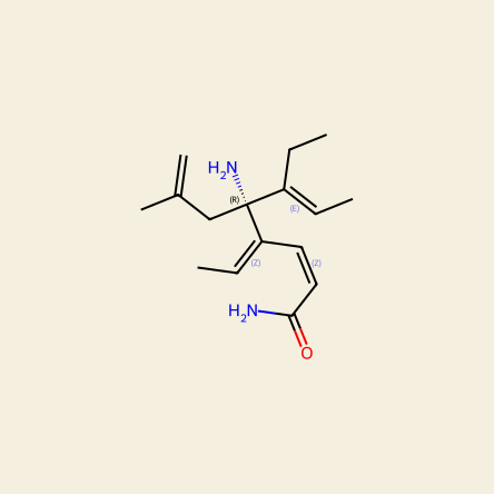 C=C(C)C[C@](N)(C(/C=C\C(N)=O)=C\C)/C(=C/C)CC